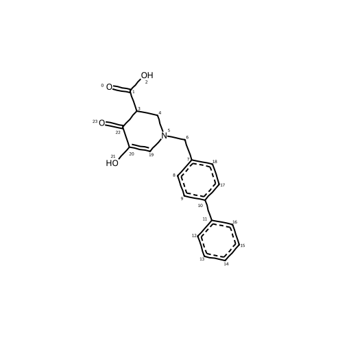 O=C(O)C1CN(Cc2ccc(-c3ccccc3)cc2)C=C(O)C1=O